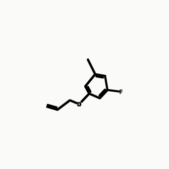 C=CCOc1cc(C)cc(F)c1